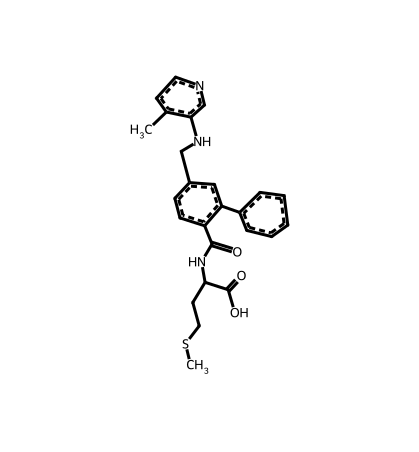 CSCCC(NC(=O)c1ccc(CNc2cnccc2C)cc1-c1ccccc1)C(=O)O